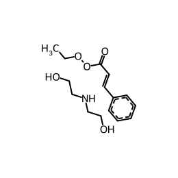 CCOOC(=O)/C=C/c1ccccc1.OCCNCCO